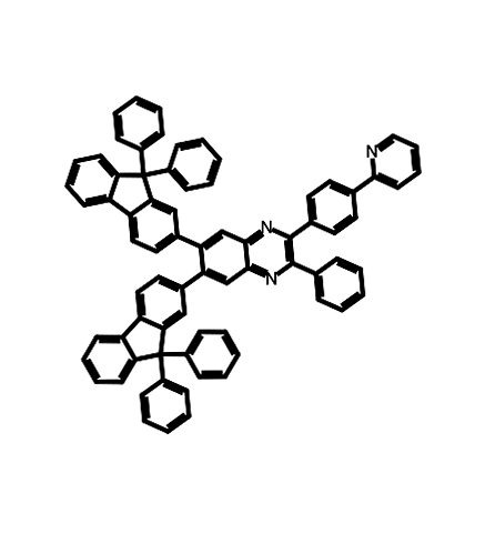 c1ccc(-c2nc3cc(-c4ccc5c(c4)C(c4ccccc4)(c4ccccc4)c4ccccc4-5)c(-c4ccc5c(c4)C(c4ccccc4)(c4ccccc4)c4ccccc4-5)cc3nc2-c2ccc(-c3ccccn3)cc2)cc1